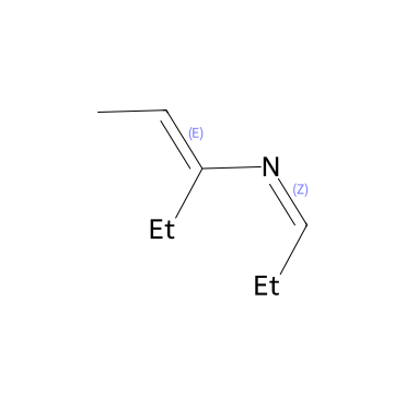 C/C=C(CC)/N=C\CC